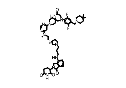 CN(CC[C@@H]1CCN(CCCNc2cccc3c2CN(C2CCC(=O)NC2=O)C3=O)C1)c1cc(N2CCC3(CC2)CN(c2cc(F)c(CN4CCC(C)(C)CC4)cc2F)CC(=O)N3)ncn1